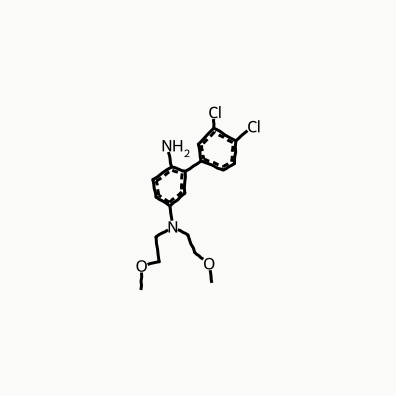 COCCN(CCOC)c1ccc(N)c(-c2ccc(Cl)c(Cl)c2)c1